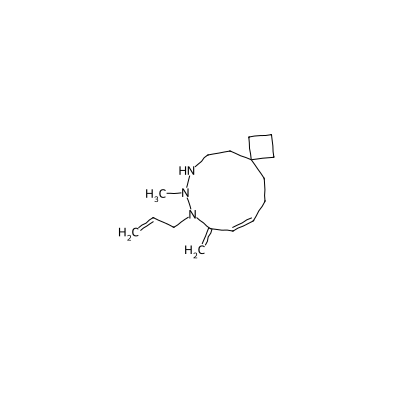 C=CCN1C(=C)/C=C\CCC2(CCC2)CCNN1C